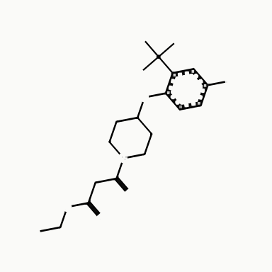 CCOC(=O)CC(=O)N1CCC(Oc2ccc(Cl)cc2C(C)(C)C)CC1